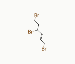 BrCC=CC(Br)CCBr